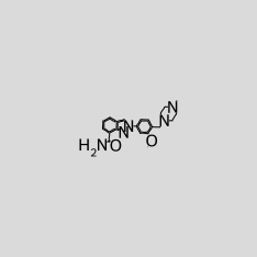 COc1cc(-n2cc3cccc(C(N)=O)c3n2)ccc1CN1CCN(C)CC1